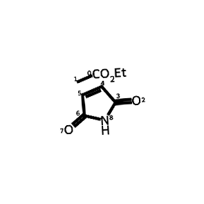 CCOC(C)=O.O=C1C=CC(=O)N1